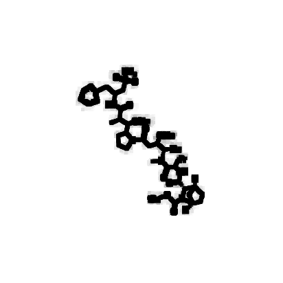 CC[C@H](C)[C@@H]([C@@H](CC(=O)N1CCCC1[C@H](OC)[C@@H](C)C(=O)NC(Cc1ccccc1)CS(N)(=O)=O)OC)N(C)C(=O)C(NC(=O)[C@@H]1[C@H]2CC[C@H](C2)N1C(=O)OC(C)(C)C)C(C)C